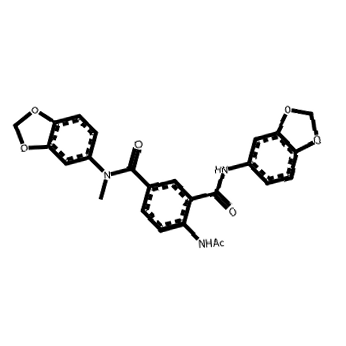 CC(=O)Nc1ccc(C(=O)N(C)c2ccc3c(c2)OCO3)cc1C(=O)Nc1ccc2c(c1)OCO2